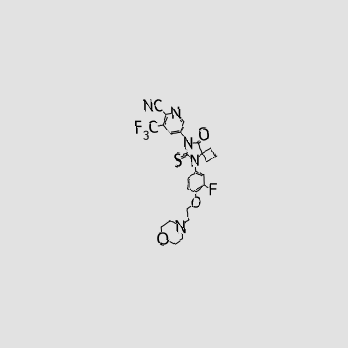 N#Cc1ncc(N2C(=O)C3(CCC3)N(c3ccc(OCCN4CCOCC4)c(F)c3)C2=S)cc1C(F)(F)F